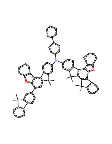 CC1(C)c2ccccc2-c2ccc(-c3cc4c(c5c3oc3ccccc35)-c3ccc(N(c5ccc(-c6ccccc6)cc5)c5ccc6c(c5)C(C)(C)c5c7c(c8oc9ccccc9c8c5-6)-c5ccccc5C7(C)C)cc3C4(C)C)cc21